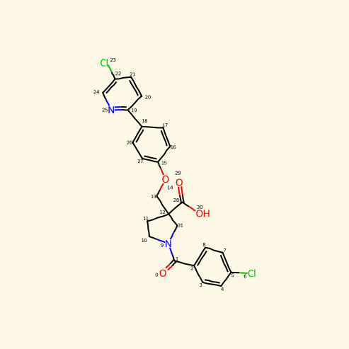 O=C(c1ccc(Cl)cc1)N1CCC(COc2ccc(-c3ccc(Cl)cn3)cc2)(C(=O)O)C1